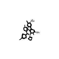 Cc1ccc([C](c2ccc(C)cc2)=[Zr]([C]2=CC=CC2)[c]2c(C)c(C(C)(C)C)cc3c2Cc2cc(C)c(C(C)(C)C)cc2-3)cc1